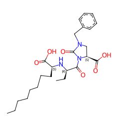 CCCCCCCC[C@H](N[C@H](CC)C(=O)N1C(=O)N(Cc2ccccc2)C[C@H]1C(=O)O)C(=O)O